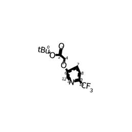 CC(C)(C)OC(=O)COc1ccc(C(F)(F)F)nc1